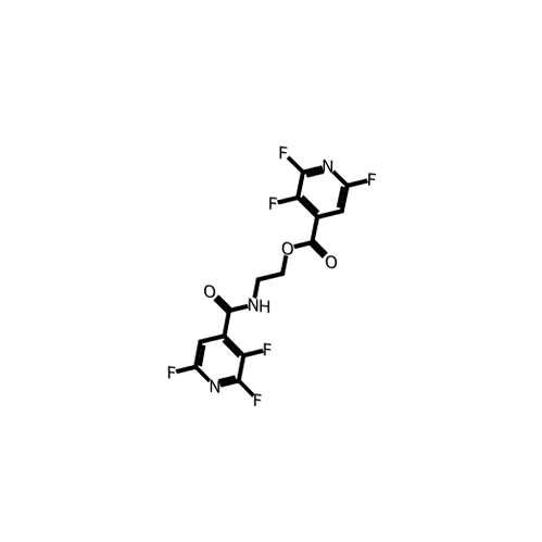 O=C(NCCOC(=O)c1cc(F)nc(F)c1F)c1cc(F)nc(F)c1F